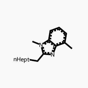 CCCCCCCCc1nc2c(C)cccc2n1C